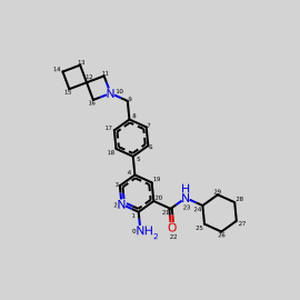 Nc1ncc(-c2ccc(CN3CC4(CCC4)C3)cc2)cc1C(=O)NC1CCCCC1